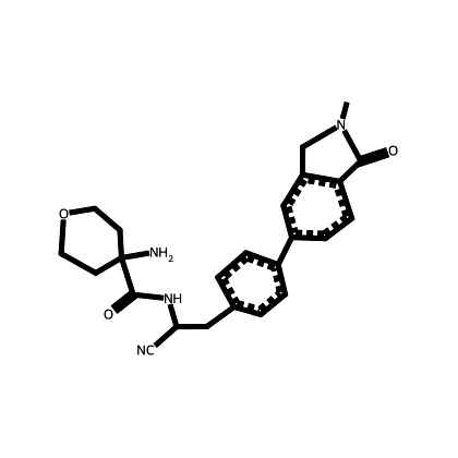 CN1Cc2cc(-c3ccc(CC(C#N)NC(=O)C4(N)CCOCC4)cc3)ccc2C1=O